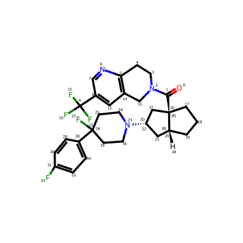 O=C(N1CCc2ncc(C(F)(F)F)cc2C1)[C@@]12CCC[C@@H]1C[C@H](N1CCC(F)(c3ccc(F)cc3)CC1)C2